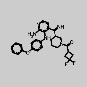 N=C(c1ccnc(N)c1Nc1ccc(Oc2ccccc2)cc1)[C@@H]1CCCN(C(=O)C2CC(F)(F)C2)C1